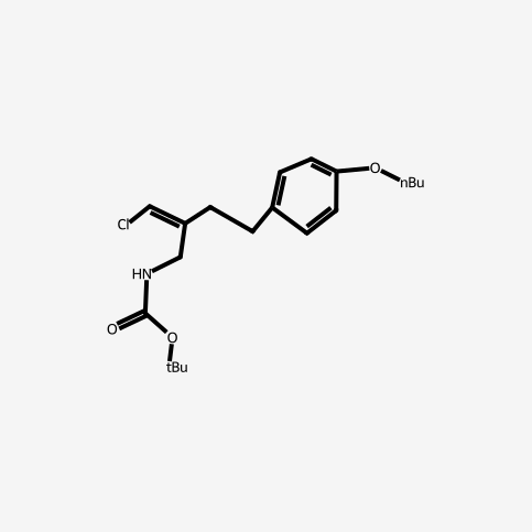 CCCCOc1ccc(CCC(=CCl)CNC(=O)OC(C)(C)C)cc1